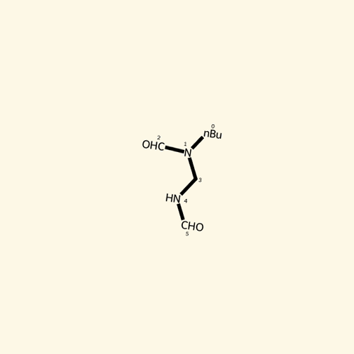 CCCCN(C=O)CNC=O